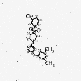 Cc1cc(C)cc(Cc2csc(N3CCC(S(=O)(=O)c4cccc(Cl)c4)CC3)n2)c1